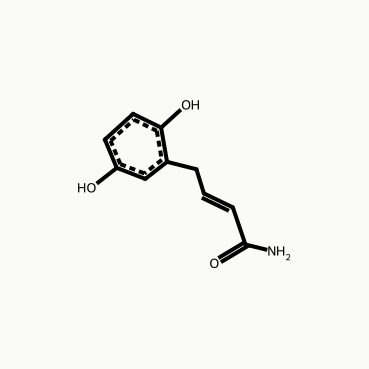 NC(=O)C=CCc1cc(O)ccc1O